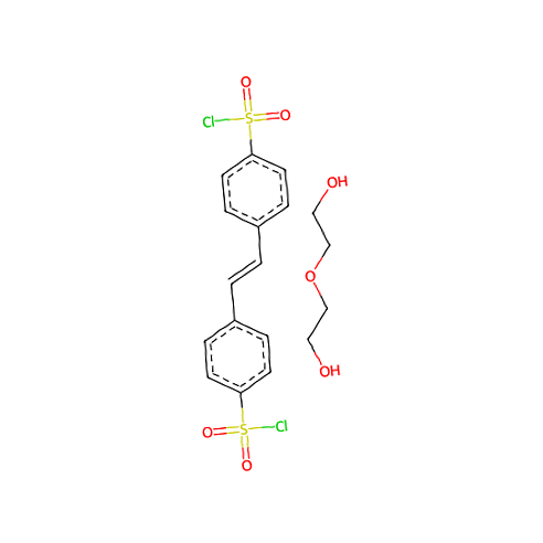 O=S(=O)(Cl)c1ccc(C=Cc2ccc(S(=O)(=O)Cl)cc2)cc1.OCCOCCO